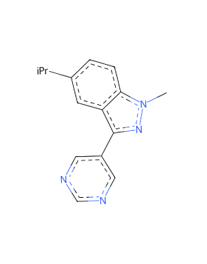 CC(C)c1ccc2c(c1)c(-c1cncnc1)nn2C